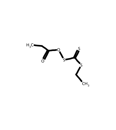 CCSC(=S)SOC(=O)CC